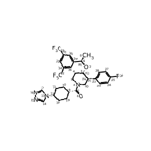 C[C@@H](O[C@H]1CCN(C(=O)[C@H]2CC[C@@H](n3cnnc3)CC2)C[C@@H]1c1ccc(F)cc1)c1cc(C(F)(F)F)cc(C(F)(F)F)c1